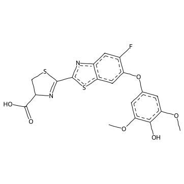 COc1cc(Oc2cc3sc(C4=NC(C(=O)O)CS4)nc3cc2F)cc(OC)c1O